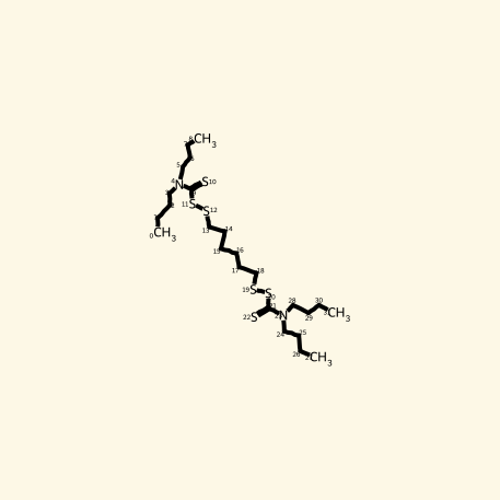 CCCCN(CCCC)C(=S)SSCCCCCCSSC(=S)N(CCCC)CCCC